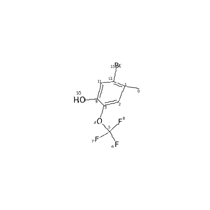 Cc1cc(OC(F)(F)F)c(O)cc1Br